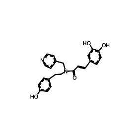 O=C(/C=C/c1ccc(O)c(O)c1)N(CCc1ccc(O)cc1)Cc1ccncc1